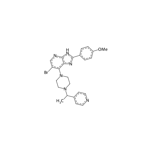 COc1ccc(-c2nc3c(N4CCN(C(C)c5ccncc5)CC4)c(Br)cnc3[nH]2)cc1